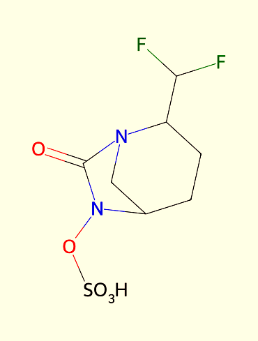 O=C1N2CC(CCC2C(F)F)N1OS(=O)(=O)O